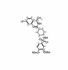 COc1ccc(S(=O)(=O)N[C@H]2CC[C@H](C(=O)N[C@H](C)c3ccc(F)cc3)CC2)cc1OC